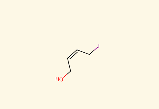 OC/C=C\CI